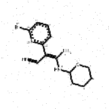 C/C(NC1CCCCO1)=C(/C=N)c1cccc(Br)n1